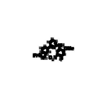 COc1cc(F)c([N+](=O)[O-])cc1Nc1nccc(-c2ccc3c(cnn3C(C)C)c2)n1